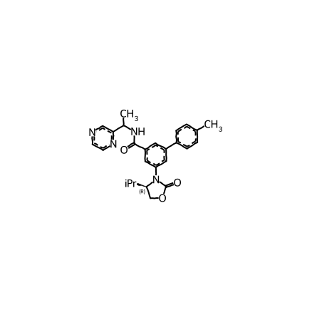 Cc1ccc(-c2cc(C(=O)NC(C)c3cnccn3)cc(N3C(=O)OC[C@H]3C(C)C)c2)cc1